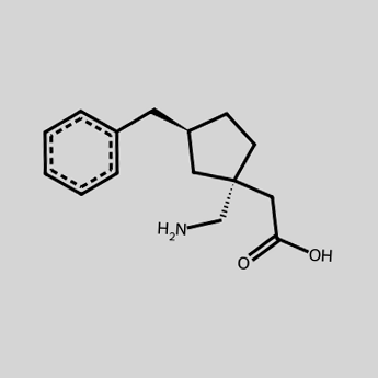 NC[C@@]1(CC(=O)O)CC[C@H](Cc2ccccc2)C1